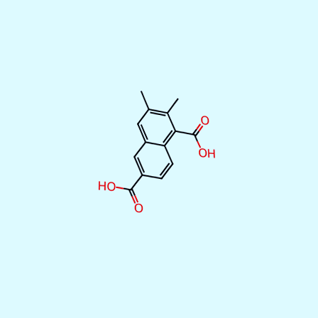 Cc1cc2cc(C(=O)O)ccc2c(C(=O)O)c1C